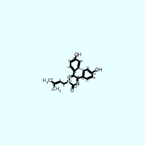 CC(C)=CCn1nc(-c2ccc(O)cc2)c(-c2ccc(O)cc2)nc1=O